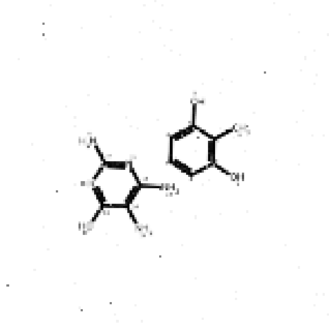 Cc1c(O)cccc1O.Nc1nc(N)c(N)c(O)n1